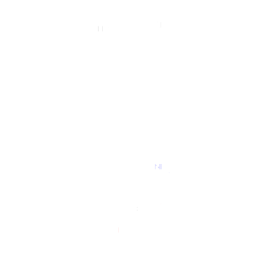 Cc1ccc(-c2cccc(C(N)CC(=O)O)c2)cc1C